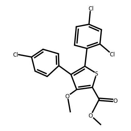 COC(=O)c1sc(-c2ccc(Cl)cc2Cl)c(-c2ccc(Cl)cc2)c1OC